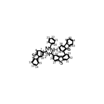 NC(NC(/N=C/c1ccc2sc3ccccc3c2c1)c1ccccc1)c1ccc2sc3cccc(-c4cccc5c4sc4ccccc45)c3c2c1